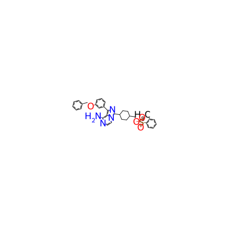 Cc1ccccc1S(=O)(=O)OCC1CCC(c2nc(-c3cccc(OCc4ccccc4)c3)c3c(N)nccn23)CC1